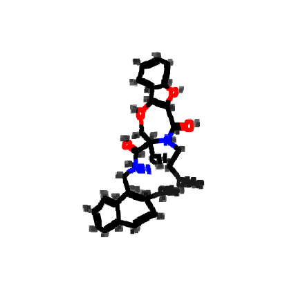 COCCN1C(=O)c2oc3ccccc3c2OCC1(C)C(=O)NCc1c(OC)ccc2ccccc12